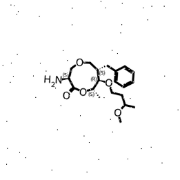 COC(C)CCO[C@@H]1[C@@H](Cc2ccccc2)COC[C@H](N)C(=O)O[C@H]1C